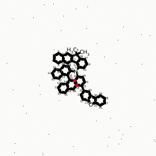 CC1(C)c2cc3ccccc3cc2-c2c(N(c3ccc(-c4ccc5oc6ccccc6c5c4)cc3)c3ccc4ccccc4c3-c3cccc4ccccc34)cccc21